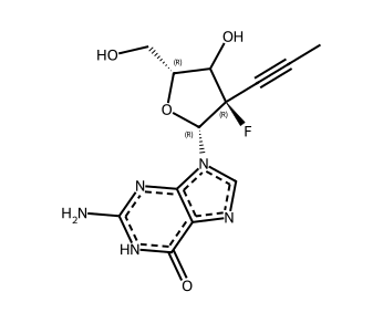 CC#C[C@@]1(F)C(O)[C@@H](CO)O[C@H]1n1cnc2c(=O)[nH]c(N)nc21